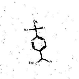 CCOC(=O)C(c1cnc(C(C)(C)CC)nc1)C(C)C